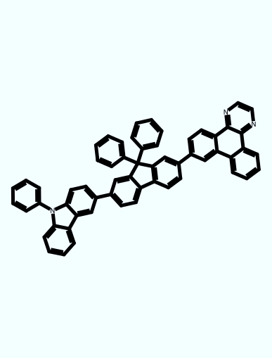 c1ccc(-n2c3ccccc3c3cc(-c4ccc5c(c4)C(c4ccccc4)(c4ccccc4)c4cc(-c6ccc7c(c6)c6ccccc6c6nccnc76)ccc4-5)ccc32)cc1